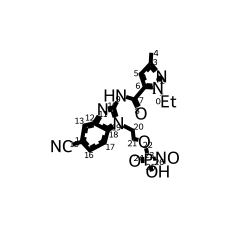 CCn1nc(C)cc1C(=O)Nc1nc2cc(C#N)ccc2n1CCOP(=O)(O)N=O